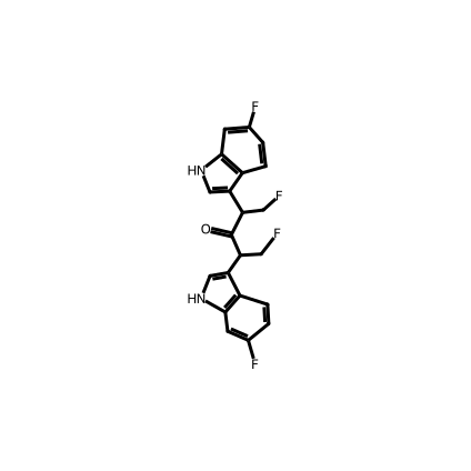 O=C(C(CF)c1c[nH]c2cc(F)ccc12)C(CF)c1c[nH]c2cc(F)ccc12